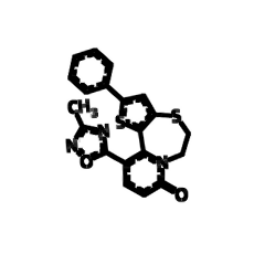 Cc1noc(-c2ccc(=O)n3c2-c2sc(-c4ccccc4)cc2SCC3)n1